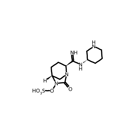 N=C(N[C@H]1CCCNC1)[C@@H]1CC[C@@H]2CN1C(=O)N2OS(=O)(=O)O